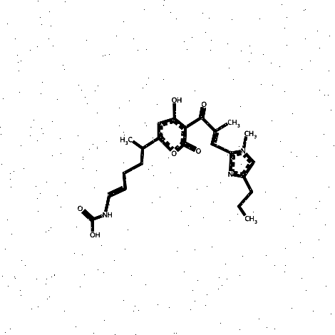 CCCc1cn(C)c(C=C(C)C(=O)c2c(O)cc(C(C)CCC=CNC(=O)O)oc2=O)n1